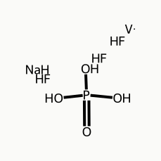 F.F.F.O=P(O)(O)O.[NaH].[V]